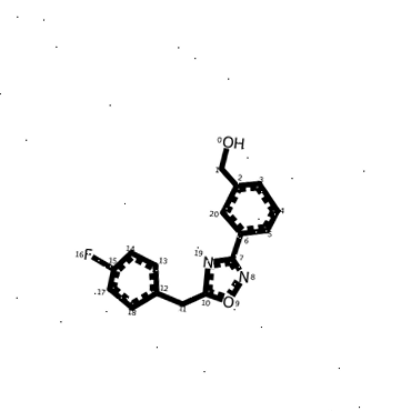 OCc1cccc(-c2noc(Cc3ccc(F)cc3)n2)c1